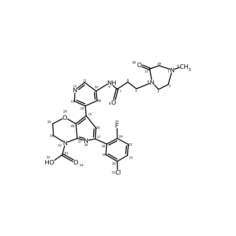 CN1CCN(CCC(=O)Nc2cncc(-c3cc(-c4cc(Cl)ccc4F)nc4c3OCCN4C(=O)O)c2)C(=O)C1